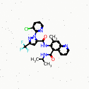 Cc1cc2ncccc2c(C(=O)NC(C)C)c1NC(=O)c1cc(C(F)(F)F)nn1-c1ncccc1Cl